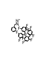 C[NH+](C)Cc1ccccc1.Fc1cc(F)c(F)c([B-](c2cc(F)cc(F)c2F)(c2cc(F)cc(F)c2F)c2cc(F)cc(F)c2F)c1